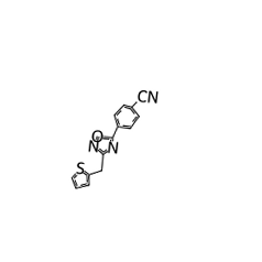 N#Cc1ccc(-c2nc(Cc3cccs3)no2)cc1